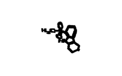 CS(=O)(=O)c1cccc2c3c([nH]c12)CC[C]C3